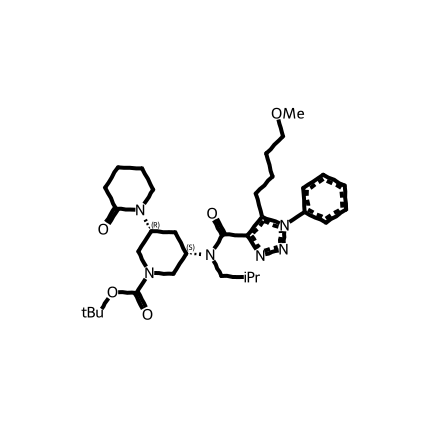 COCCCCc1c(C(=O)N(CC(C)C)[C@H]2C[C@@H](N3CCCCC3=O)CN(C(=O)OC(C)(C)C)C2)nnn1-c1ccccc1